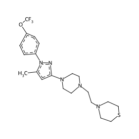 Cc1cc(N2CCN(CCN3CCSCC3)CC2)nn1-c1ccc(OC(F)(F)F)cc1